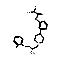 CC(C)C(=O)Nc1cccc(C2CCN(C[C@H](C)COc3ccccc3F)CC2)c1